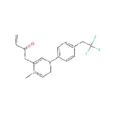 C=CC(=O)CC1=CC(c2ccc(CC(F)(F)F)cc2)CC=C1C